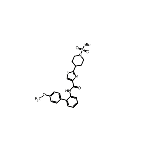 CCCCS(=O)(=O)N1CCC(c2nc(C(=O)Nc3ccccc3-c3ccc(OC(F)(F)F)cc3)cs2)CC1